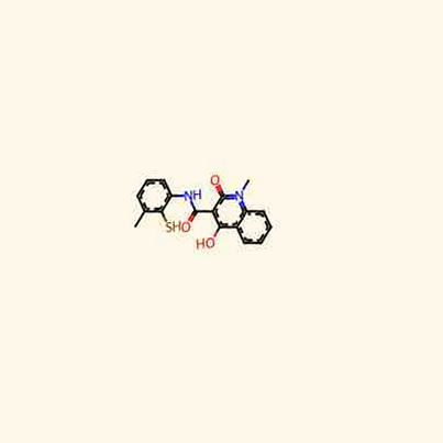 Cc1cccc(NC(=O)c2c(O)c3ccccc3n(C)c2=O)c1S